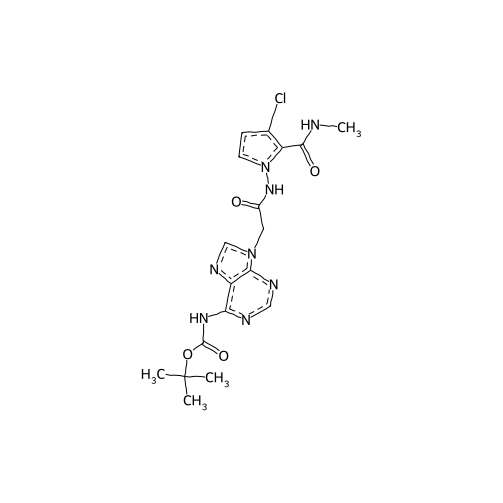 CNC(=O)c1c(Cl)ccn1NC(=O)Cn1cnc2c(NC(=O)OC(C)(C)C)ncnc21